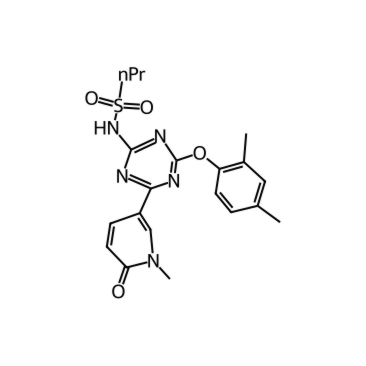 CCCS(=O)(=O)Nc1nc(Oc2ccc(C)cc2C)nc(-c2ccc(=O)n(C)c2)n1